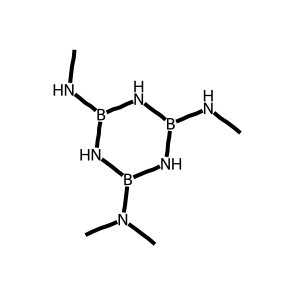 CNB1NB(NC)NB(N(C)C)N1